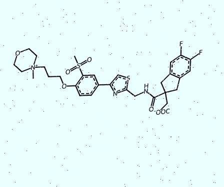 C[N+]1(CCCOc2ccc(-c3csc(CNC(=O)C4(CC(=O)[O-])Cc5cc(F)c(F)cc5C4)n3)cc2S(C)(=O)=O)CCOCC1